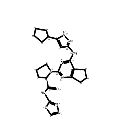 O=C(Nc1nnco1)[C@H]1CCCN1c1nc2c(c(Nc3cc(C4CCCC4)[nH]n3)n1)CCC2